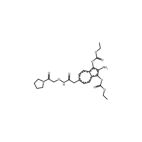 CCOC(=O)Oc1c2ccc(CC(=O)NOCC(=O)N3CCCC3)ccc-2c(OC(=O)OCC)c1N